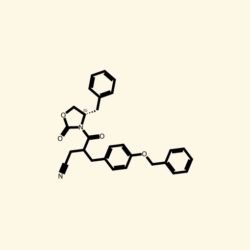 N#CCC(Cc1ccc(OCc2ccccc2)cc1)C(=O)N1C(=O)OC[C@@H]1Cc1ccccc1